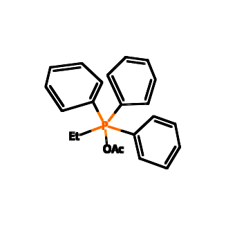 CCP(OC(C)=O)(c1ccccc1)(c1ccccc1)c1ccccc1